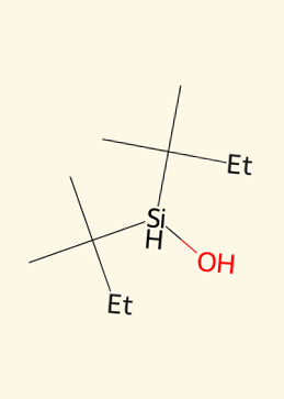 CCC(C)(C)[SiH](O)C(C)(C)CC